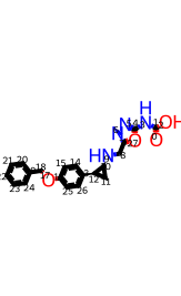 O=C(O)Nc1nnc(CN[C@@H]2C[C@H]2c2ccc(OCc3ccccc3)cc2)o1